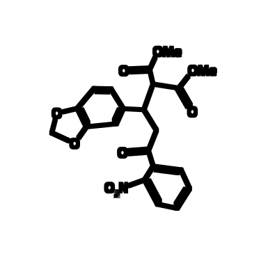 COC(=O)C(C(=O)OC)C(CC(=O)c1ccccc1[N+](=O)[O-])c1ccc2c(c1)OCO2